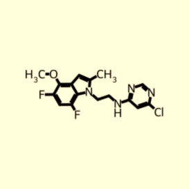 COc1c(F)cc(F)c2c1cc(C)n2CCNc1cc(Cl)ncn1